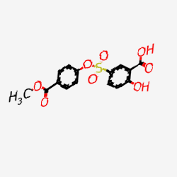 COC(=O)c1ccc(OS(=O)(=O)c2ccc(O)c(C(=O)O)c2)cc1